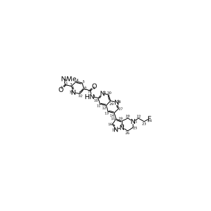 CNC(=O)c1ccc(C(=O)Nc2cc3cc(-c4cnn5c4CN(CCF)CC5)cnc3cn2)cn1